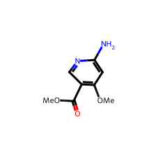 COC(=O)c1cnc(N)cc1OC